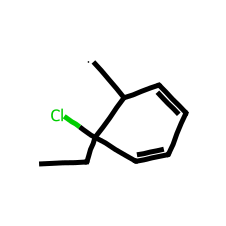 [CH2]C1C=CC=CC1(Cl)CC